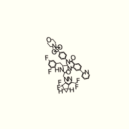 O=C(Cn1nc(C(F)F)c2c1C(F)(F)[C@H]1C[C@@H]21)NC(Cc1cc(F)cc(F)c1)c1nc2cc(-c3ccccn3)ccc2c(=O)n1-c1ccc(S(=O)(=O)N2CCOCC2)cc1